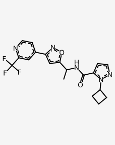 CC(NC(=O)c1ccnn1C1CCC1)c1cc(-c2ccnc(C(F)(F)F)c2)no1